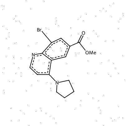 COC(=O)c1cc(Br)c2nccc(N3CCCC3)c2c1